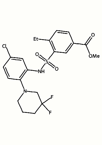 CCc1ccc(C(=O)OC)cc1S(=O)(=O)Nc1cc(Cl)ccc1N1CCCC(F)(F)C1